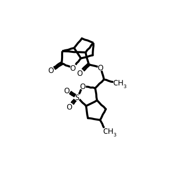 CC1CC2C(C(C)OC(=O)C3C4CC5OC(=O)C3C5C4)OS(=O)(=O)C2C1